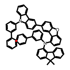 CC1(C)c2ccccc2-c2c(N(c3cccc(-c4ccccc4)c3)c3cccc4oc5ccc(-c6ccc7c(c6)c6ccccc6n7-c6cccc(-c7ccccc7)c6)cc5c34)cccc21